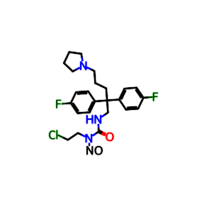 O=NN(CCCl)C(=O)NCC(CCCN1CCCC1)(c1ccc(F)cc1)c1ccc(F)cc1